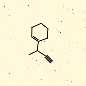 [C]#CC(C)C1=CCCCC1